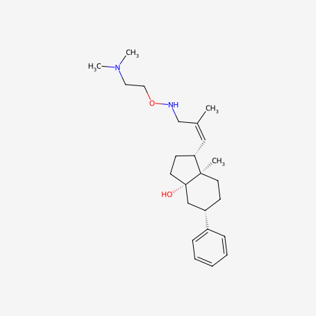 CC(=C[C@H]1CC[C@]2(O)C[C@@H](c3ccccc3)CC[C@]12C)CNOCCN(C)C